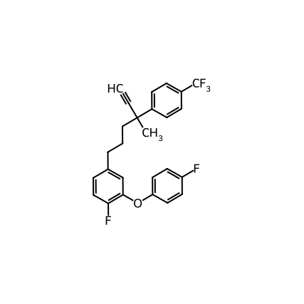 C#CC(C)(CCCc1ccc(F)c(Oc2ccc(F)cc2)c1)c1ccc(C(F)(F)F)cc1